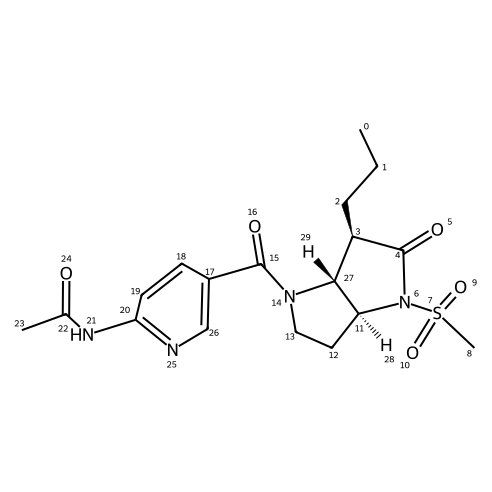 CCC[C@H]1C(=O)N(S(C)(=O)=O)[C@H]2CCN(C(=O)c3ccc(NC(C)=O)nc3)[C@H]12